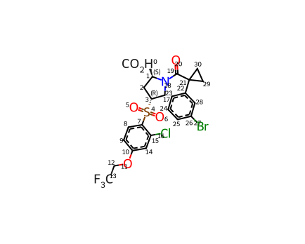 O=C(O)[C@@H]1C[C@@H](S(=O)(=O)c2ccc(OCC(F)(F)F)cc2Cl)CN1C(=O)C1(c2cccc(Br)c2)CC1